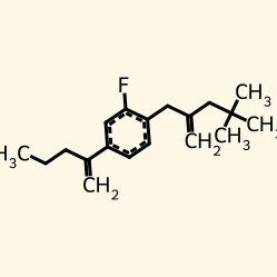 C=C(Cc1ccc(C(=C)CCC)cc1F)CC(C)(C)C